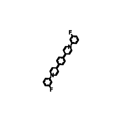 Fc1cccc(N2C=CC(=c3ccc(=C4C=CN(c5cccc(F)c5)C=C4)cc3)C=C2)c1